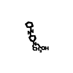 CCN(CCO)c1ccc(/N=N/c2ccccc2)cc1